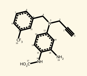 C#CCN(Cc1cccc(C(F)(F)F)c1)c1ccc(NC(=O)O)c(N)c1